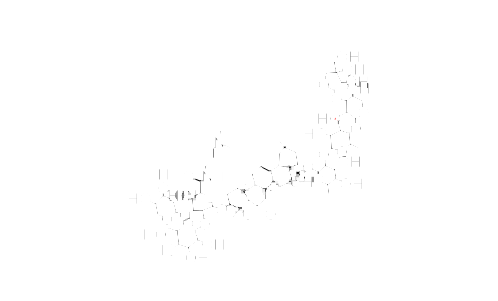 CC1OC(OC(=O)[C@]23CCC(C)(C)CC2C2=CCC4[C@@]5(C)CC[C@H](OC6OC(C(=O)NCCCN(C)C)C(O)C(OC7OCC(O)C(O)C7O)C6OC6OC(CO)C(O)C(O)C6O)[C@@](C)(C=O)C5CC[C@@]4(C)[C@]2(C)C[C@H]3O)C(OC2OC(C)C(OC3OCC(O)C(OC4OCC(O)(CO)C4O)C3O)C(C)C2O)C(O)C1O